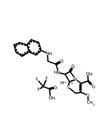 COC1=C(C(=O)O)N2C(=O)C(NC(=O)CNc3ccc4ccccc4c3)[C@@H]2SC1.O=C(O)C(F)(F)F